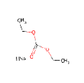 CCOC(=O)OCC.[NaH]